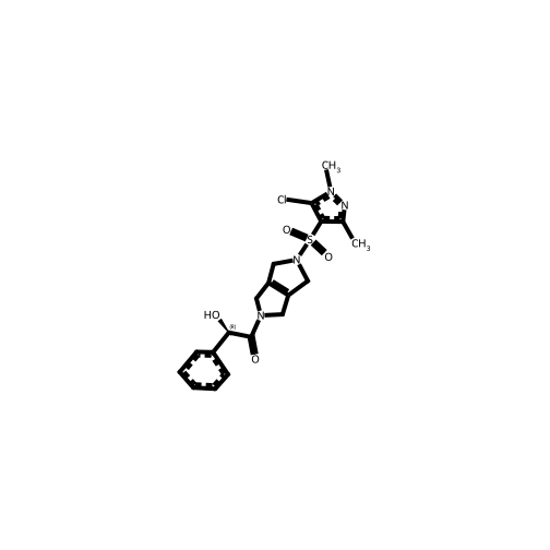 Cc1nn(C)c(Cl)c1S(=O)(=O)N1CC2=C(CN(C(=O)[C@H](O)c3ccccc3)C2)C1